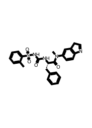 Cc1ccccc1S(=O)(=O)NC(=O)N[C@@H](Cc1ccccc1)C(=O)N(C)c1ccc2c(c1)CC=N2